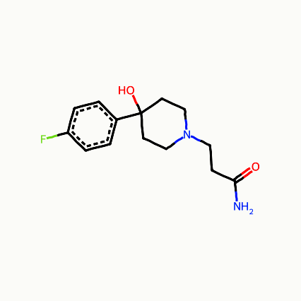 NC(=O)CCN1CCC(O)(c2ccc(F)cc2)CC1